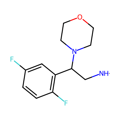 [NH]CC(c1cc(F)ccc1F)N1CCOCC1